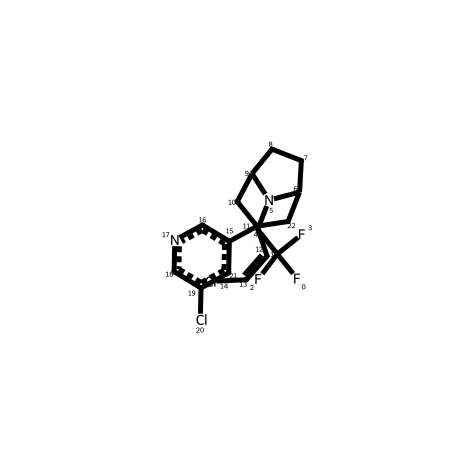 FC(F)(F)CN1C2CCC1CC(/C=C\Cl)(c1cncc(Cl)c1)C2